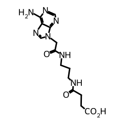 Nc1ncnc2c1ncn2CC(=O)NCCCNC(=O)CCC(=O)O